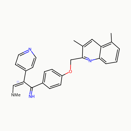 CN/C=C(\C(=N)c1ccc(OCc2nc3cccc(C)c3cc2C)cc1)c1ccncc1